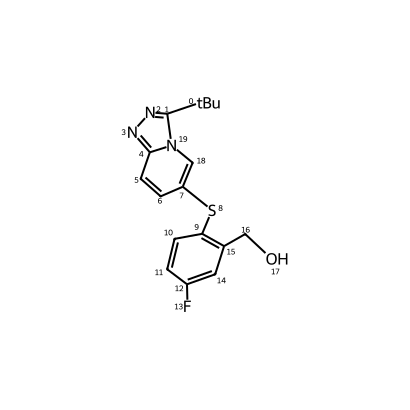 CC(C)(C)c1nnc2ccc(Sc3ccc(F)cc3CO)cn12